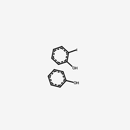 Oc1ccccc1.Oc1ccccc1I